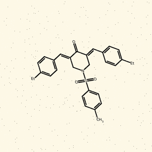 CCc1ccc(C=C2CN(S(=O)(=O)c3ccc(C)cc3)CC(=Cc3ccc(CC)cc3)C2=O)cc1